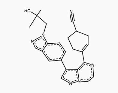 CC(C)(O)Cn1ncc2cc(-c3cnn4ccnc(C5=CCC(C#N)CC5)c34)ccc21